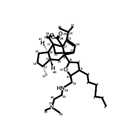 CCCCCCC1CC(C23C[C@@H]4[C@H](C)CC[C@H]4C4(C=O)CC2C=C(C(C)C)C34C(=O)O)OC1CNCCN(C)C